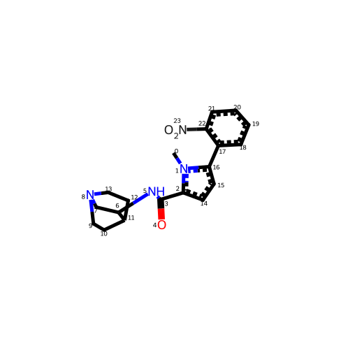 Cn1c(C(=O)NC2CN3CCC2CC3)ccc1-c1ccccc1[N+](=O)[O-]